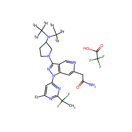 O=C(O)C(F)(F)F.[2H]C([2H])([2H])N(C1CCN(c2nn(-c3cc(CC)nc(C(C)(F)F)n3)c3cc(CC(N)=O)ncc23)C1)C([2H])([2H])[2H]